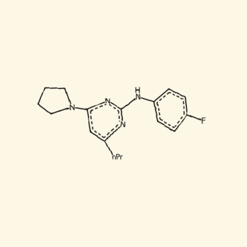 CCCc1cc(N2CCCC2)nc(Nc2ccc(F)cc2)n1